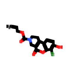 C=CCOC(=O)N1CCc2c(c(=O)oc3c(Cl)c(O)ccc23)C1